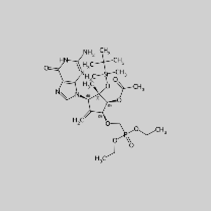 C=C1[C@H](OCP(=O)(OCC)OCC)[C@H](OC(C)=O)[C@@](C)(O[Si](C)(C)C(C)(C)C)[C@@H]1n1cnc2c(=O)[nH]c(N)nc21